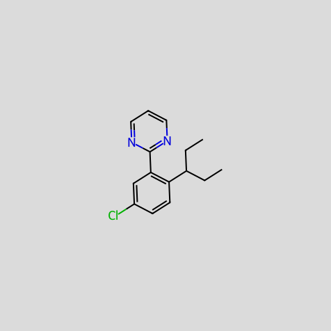 CCC(CC)c1ccc(Cl)cc1-c1ncccn1